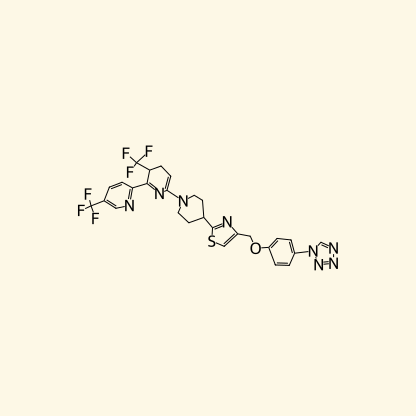 FC(F)(F)c1ccc(C2=NC(N3CCC(c4nc(COc5ccc(-n6cnnn6)cc5)cs4)CC3)=CCC2C(F)(F)F)nc1